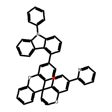 c1ccc(-n2c3ccccc3c3c(-c4ccc5c(c4)Oc4ccccc4C54c5ccccc5Oc5cc(-c6ccccn6)ccc54)cccc32)cc1